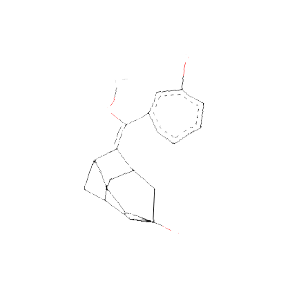 COC(=C1C2CC3CC1CC(O)(C3)C2)c1cccc(O)c1